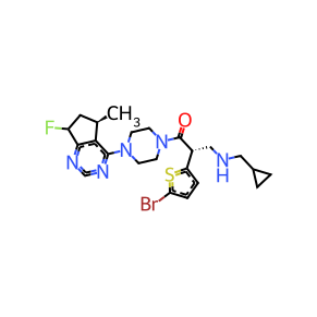 C[C@@H]1CC(F)c2ncnc(N3CCN(C(=O)[C@H](CNCC4CC4)c4ccc(Br)s4)CC3)c21